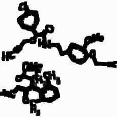 C#CCOc1ccc(CCNC(=O)C(OCC#C)c2ccc(Cl)cc2)cc1OC.COCC(=O)N(c1c(C)cccc1C)[C@H](C)C(=O)OC